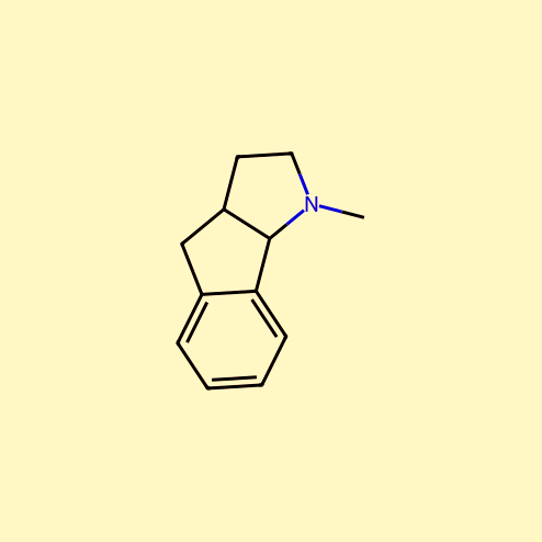 CN1CCC2Cc3ccccc3C21